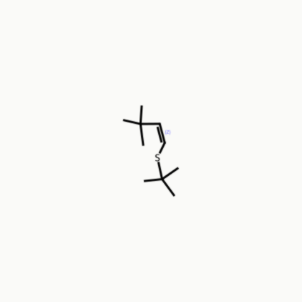 CC(C)(C)/C=C\SC(C)(C)C